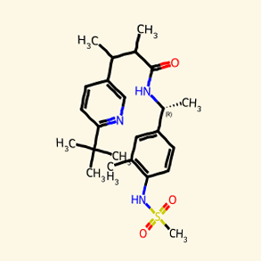 Cc1cc([C@@H](C)NC(=O)C(C)C(C)c2ccc(C(C)(C)C)nc2)ccc1NS(C)(=O)=O